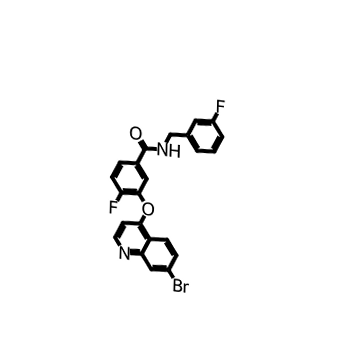 O=C(NCc1cccc(F)c1)c1ccc(F)c(Oc2ccnc3cc(Br)ccc23)c1